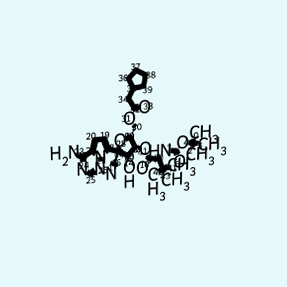 CC(C)(C)OC(=O)N[C@@H](C(=O)O[C@H]1[C@@H](O)[C@](C#N)(c2ccc3c(N)ncnn23)O[C@@H]1COC(=O)CC1CCCC1)C(C)(C)C